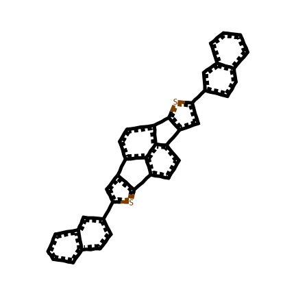 c1ccc2cc(-c3cc4c(s3)-c3ccc5c6c(ccc-4c36)-c3sc(-c4ccc6ccccc6c4)cc3-5)ccc2c1